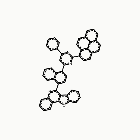 c1ccc(-c2cc(-c3ccc(-c4nc5ccccc5c5oc6ccccc6c45)c4ccccc34)nc(-c3ccc4ccc5cccc6ccc3c4c56)n2)cc1